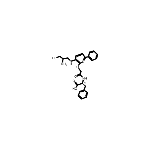 NC(CS)CNc1ccc(-c2ccccc2)nc1OCC(=O)N[C@@H](Cc1ccccc1)C(=O)O